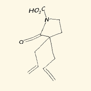 C=CCC1(CC=C)CCN(C(=O)O)C1=O